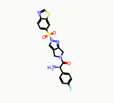 N[C@@H](C(=O)N1Cc2cn(S(=O)(=O)c3ccc4ncsc4c3)nc2C1)c1ccc(F)cc1